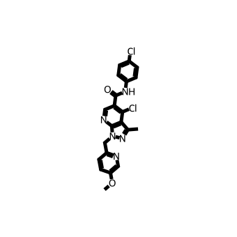 COc1ccc(Cn2nc(C)c3c(Cl)c(C(=O)Nc4ccc(Cl)cc4)cnc32)nc1